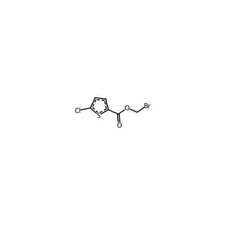 O=C(OCBr)c1ccc(Cl)s1